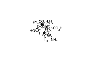 C=CC[C@H](NC(=O)[C@H](CCC(=O)O)NC(=O)[C@H](CCCCN)NC(=O)[C@H](C)N)C(=O)N[C@@H](Cc1ccc(O)cc1)C(=O)N[C@@H](CC(C)C)C(=O)O